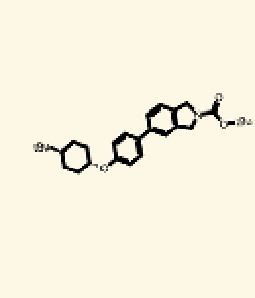 CC(C)(C)OC(=O)N1Cc2ccc(-c3ccc(O[C@H]4CC[C@H](C(C)(C)C)CC4)cc3)cc2C1